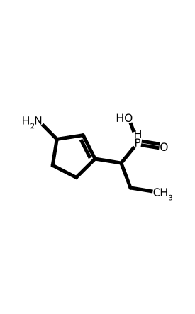 CCC(C1=CC(N)CC1)[PH](=O)O